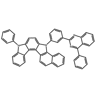 c1ccc(-c2nc(-c3cccc(-n4c5ccc6c(c7ccccc7n6-c6ccccc6)c5c5ccc6ccccc6c54)c3)nc3ccccc23)cc1